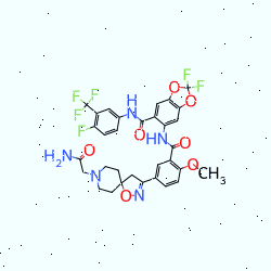 COc1ccc(C2=NOC3(CCN(CC(N)=O)CC3)C2)cc1C(=O)Nc1cc2c(cc1C(=O)Nc1ccc(F)c(C(F)(F)F)c1)OC(F)(F)O2